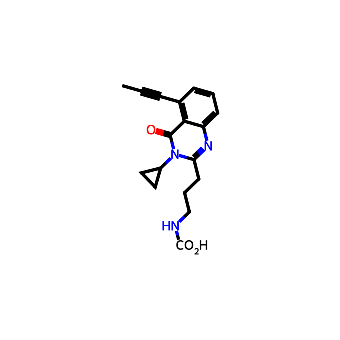 CC#Cc1cccc2nc(CCCNC(=O)O)n(C3CC3)c(=O)c12